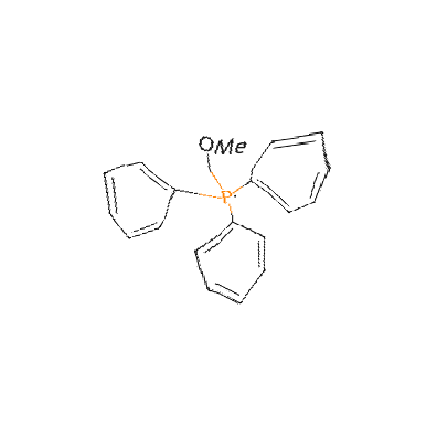 CO[P](c1ccccc1)(c1ccccc1)c1ccccc1